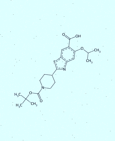 CC(C)Oc1cc2nc(C3CCN(C(=O)OC(C)(C)C)CC3)sc2cc1C(=O)O